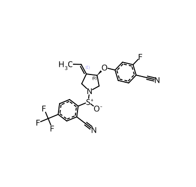 C/C=C1\CN([S+]([O-])c2ccc(C(F)(F)F)cc2C#N)C[C@@H]1Oc1ccc(C#N)c(F)c1